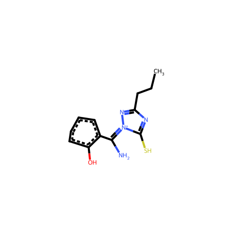 CCCC1=N[N+](=C(N)c2ccccc2O)C(S)=N1